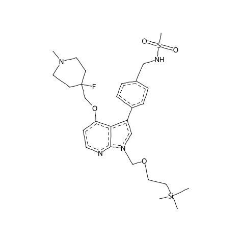 CN1CCC(F)(COc2ccnc3c2c(-c2ccc(CNS(C)(=O)=O)cc2)cn3COCC[Si](C)(C)C)CC1